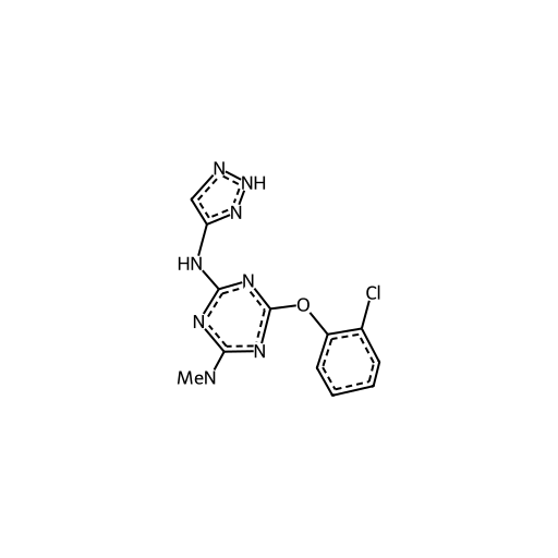 CNc1nc(Nc2cn[nH]n2)nc(Oc2ccccc2Cl)n1